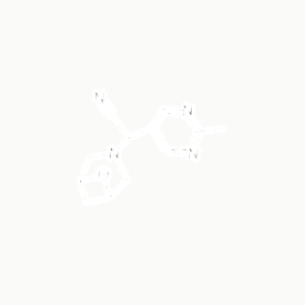 Cc1ncc(C(C#N)N2CC3CC(C2)O3)cn1